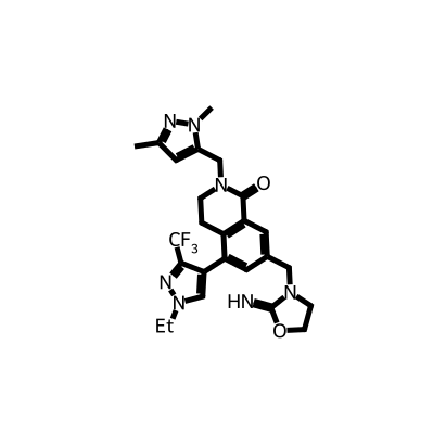 CCn1cc(-c2cc(CN3CCOC3=N)cc3c2CCN(Cc2cc(C)nn2C)C3=O)c(C(F)(F)F)n1